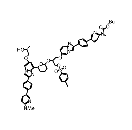 CNc1ccc(-c2ccc(-c3cn4cc(OC[C@H](C)O)cc(C5CCCC(OC(COc6ccc7nc(-c8ccc(-c9ccc(N(C)C(=O)OC(C)(C)C)nc9)cc8)cn7c6)COS(=O)(=O)c6ccc(C)cc6)O5)c4n3)cc2)cn1